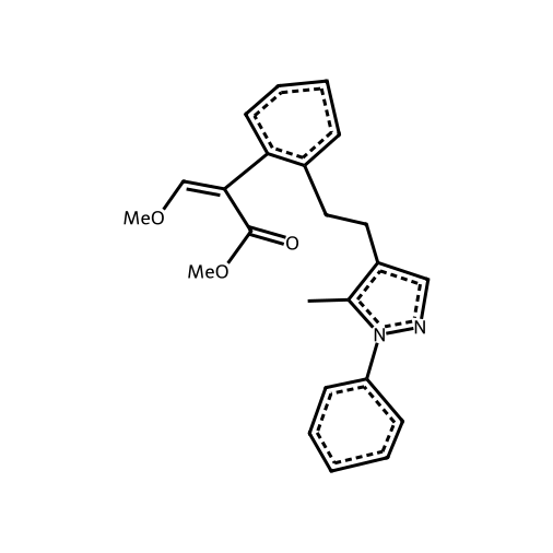 COC=C(C(=O)OC)c1ccccc1CCc1cnn(-c2ccccc2)c1C